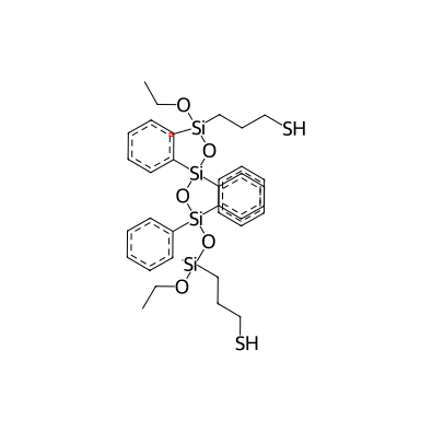 CCO[Si](C)(CCCS)O[Si](O[Si](O[Si](C)(CCCS)OCC)(c1ccccc1)c1ccccc1)(c1ccccc1)c1ccccc1